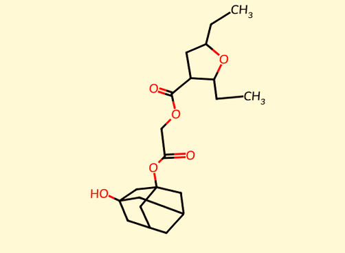 CCC1CC(C(=O)OCC(=O)OC23CC4CC(CC(O)(C4)C2)C3)C(CC)O1